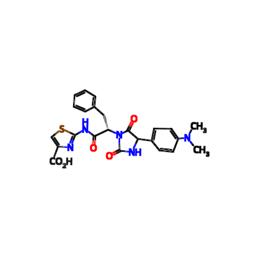 CN(C)c1ccc(C2NC(=O)N([C@@H](Cc3ccccc3)C(=O)Nc3nc(C(=O)O)cs3)C2=O)cc1